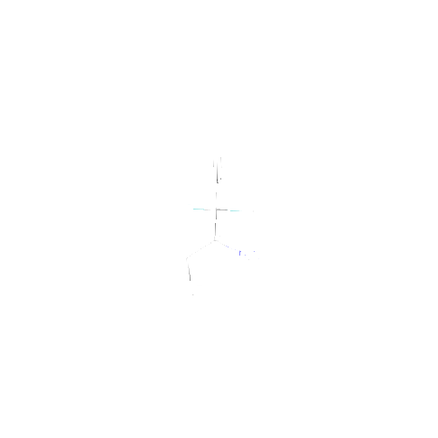 C#CC(F)(F)C(N)CC